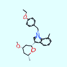 CCOc1ccc(Cn2cc([C@H]3C[C@@H](OC)C[C@@H](C)O3)c3cccc(C)c32)cc1